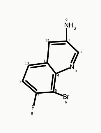 Nc1cnc2c(Br)c(F)ccc2c1